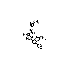 Cc1nnc(CNC(=O)c2c[nH]c3ncc(-c4ccc(C5CCOCC5)c(CN(C)C)c4)cc23)o1